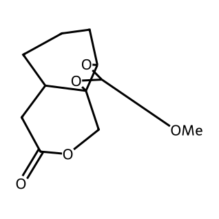 COC1OC2CCCC3CC(=O)OCC32O1